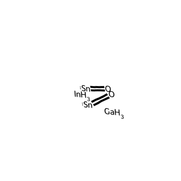 [GaH3].[InH3].[O]=[Sn].[O]=[Sn]